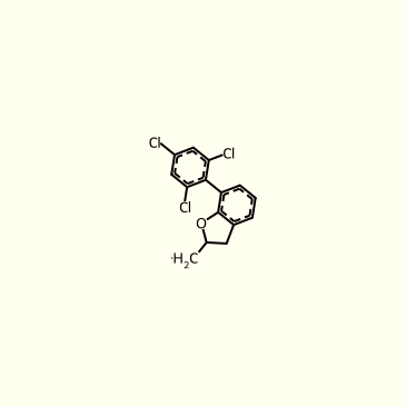 [CH2]C1Cc2cccc(-c3c(Cl)cc(Cl)cc3Cl)c2O1